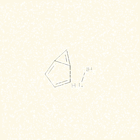 NN.c1cc2cc-2c1